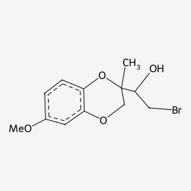 COc1ccc2c(c1)OCC(C)(C(O)CBr)O2